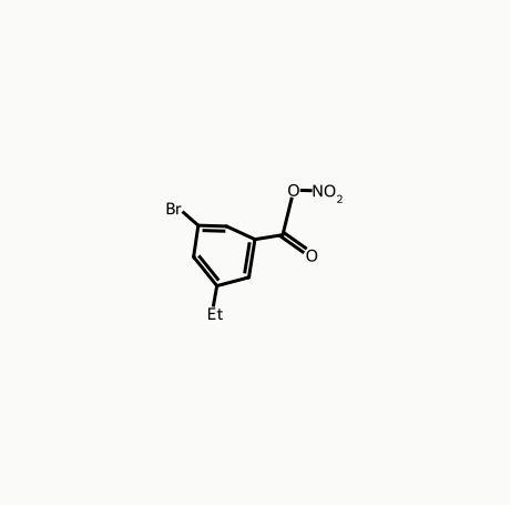 CCc1cc(Br)cc(C(=O)O[N+](=O)[O-])c1